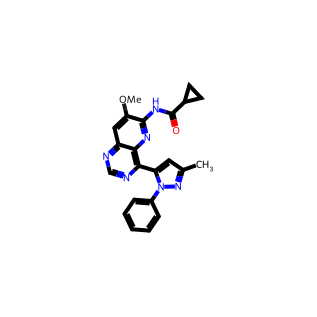 COc1cc2ncnc(-c3cc(C)nn3-c3ccccc3)c2nc1NC(=O)C1CC1